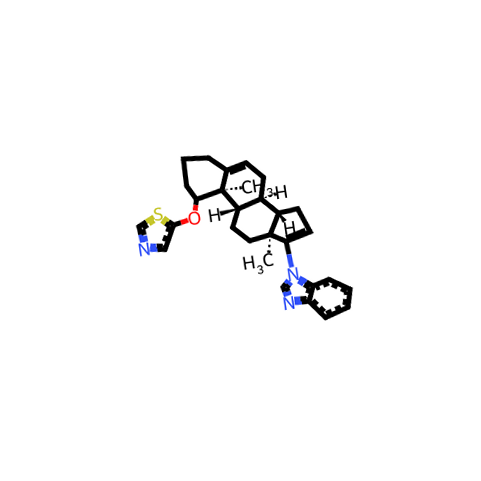 C[C@]12CC[C@H]3[C@@H](CC=C4CCCC(Oc5cncs5)[C@@]43C)[C@@H]1CC=C2n1cnc2ccccc21